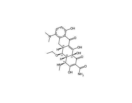 CCO[C@@H]1[C@H]2[C@H](NC)C(O)=C(C(N)=O)C(=O)[C@@]2(O)C(O)=C2C(=O)c3c(O)ccc(N(C)C)c3C[C@H]21